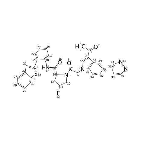 CC(=O)c1cn(CC(=O)N2CC(F)CC2C(=O)Nc2ccccc2-c2cc3ccccc3s2)c2ccc(-c3ccnnc3)cc12